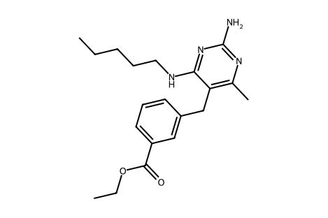 CCCCCNc1nc(N)nc(C)c1Cc1cccc(C(=O)OCC)c1